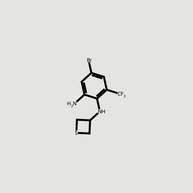 Nc1cc(Br)cc(C(F)(F)F)c1NC1CSC1